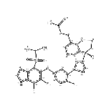 CC(C)S(=O)(=O)c1c(Oc2ccc(F)c(-c3nc([C@@]4(C)CCOc5c(CCC(=O)O)cccc54)c[nH]3)c2)c(F)c(F)c2[nH]ccc12